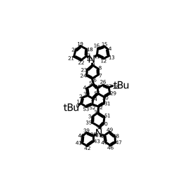 CC(C)(C)c1cc2cc(-c3ccc(N(c4ccccc4)c4ccccc4)cc3)c3cc(C(C)(C)C)cc4cc(-c5ccc(N(c6ccccc6)c6ccccc6)cc5)c(c1)c2c43